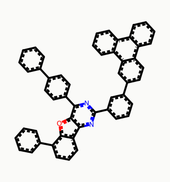 c1ccc(-c2ccc(-c3nc(-c4cccc(-c5ccc6c7ccccc7c7ccccc7c6c5)c4)nc4c3oc3c(-c5ccccc5)cccc34)cc2)cc1